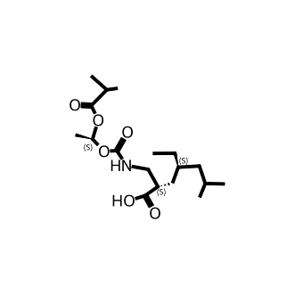 CC[C@@H](CC(C)C)C[C@@H](CNC(=O)O[C@@H](C)OC(=O)C(C)C)C(=O)O